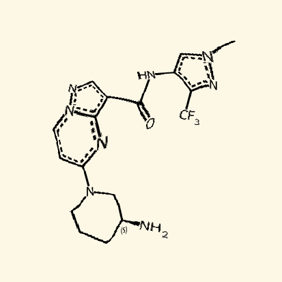 Cn1cc(NC(=O)c2cnn3ccc(N4CCC[C@H](N)C4)nc23)c(C(F)(F)F)n1